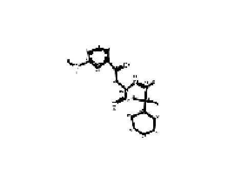 COc1cccc(C(=O)CN(C=O)/N=C(/C)C(C)(C)C2CCCCC2)c1